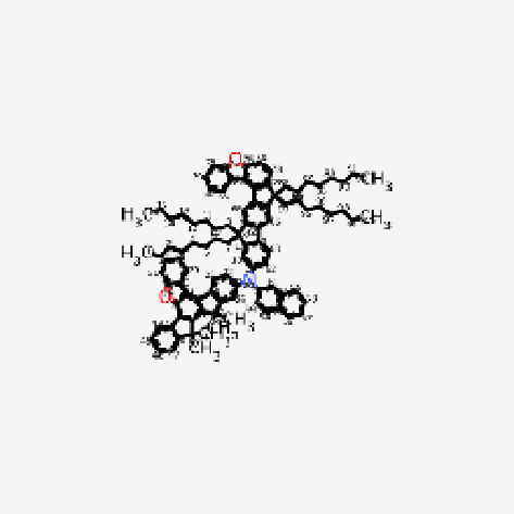 CCCCCCCCC1(CCCCCCCC)c2cc(N(c3ccc4c(c3)C(C)(C)c3c5c(c6oc7ccccc7c6c3-4)-c3ccccc3C5(C)C)c3ccc4ccccc4c3)ccc2-c2cc3c(cc21)-c1c(ccc2oc4ccccc4c12)C3(CCCCCCCC)CCCCCCCC